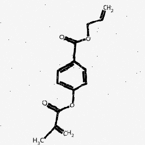 C=CCOC(=O)c1ccc(OC(=O)C(=C)C)cc1